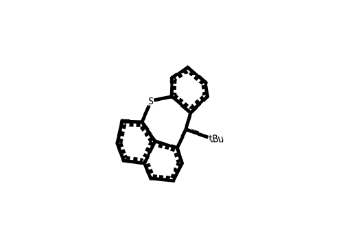 CC(C)(C)C1c2ccccc2Sc2cccc3cccc1c23